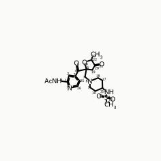 CC(=O)Nc1cc(C(=O)C2(CN3CCC(NS(C)(=O)=O)CC3)CC(=O)C(C)O2)ccn1